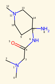 CN(C)CC(=O)NC1(N)CCN(C)CC1